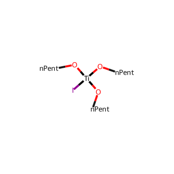 CCCCC[O][Ti]([I])([O]CCCCC)[O]CCCCC